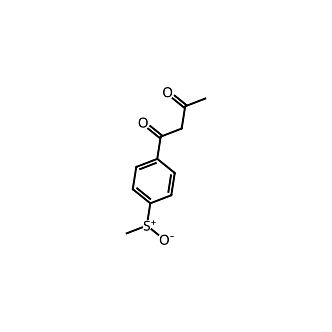 CC(=O)CC(=O)c1ccc([S+](C)[O-])cc1